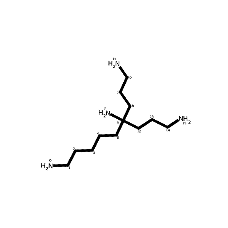 NCCCCCC(N)(CCCN)CCCN